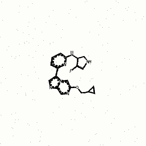 FC1CNCC1Nc1cccc(-c2cnc3cnc(OCC4CC4)cn23)n1